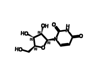 O=c1ccn([C@H]2O[C@@H](CO)[C@H](O)[C@@H]2O)c(=O)[nH]1